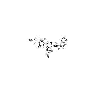 CN(C)Cc1cc(F)c(-c2cnc(NCc3c(F)ccc4c3CCO4)n3cc(C#N)nc23)cc1F